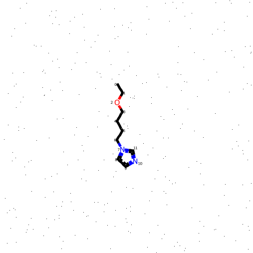 CCOCCCCn1c[c]nc1